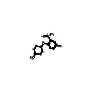 O=[N+]([O-])c1cc(F)ccc1OC1CCC(O)CC1